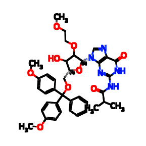 COCCOC1C(O)[C@@H](COC(c2ccccc2)(c2ccc(OC)cc2)c2ccc(OC)cc2)O[C@H]1n1cnc2c(=O)[nH]c(NC(=O)C(C)C)nc21